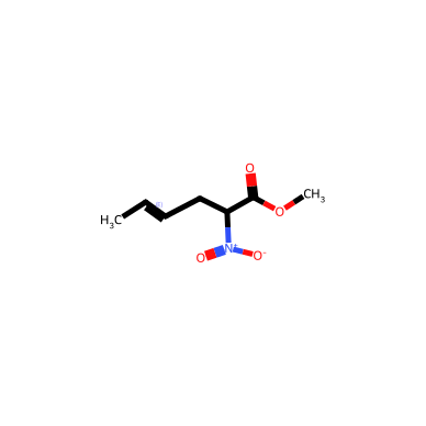 C/C=C/CC(C(=O)OC)[N+](=O)[O-]